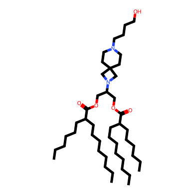 CCCCCCCCC(CCCCCC)C(=O)OCC(COC(=O)C(CCCCCC)CCCCCCCC)N1CC2(CCN(CCCCO)CC2)C1